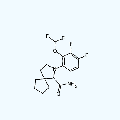 NC(=O)C1N(c2ccc(F)c(F)c2OC(F)F)CCC12CCCC2